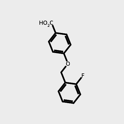 O=C(O)c1ccc(OCc2ccccc2F)cc1